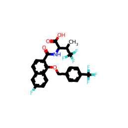 CC(C(NC(=O)c1ccc2cc(F)ccc2c1OCc1ccc(C(F)(F)F)cc1)C(=O)O)C(F)(F)F